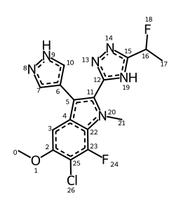 COc1cc2c(-c3cn[nH]c3)c(-c3nnc(C(C)F)[nH]3)n(C)c2c(F)c1Cl